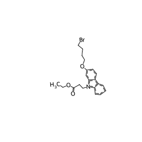 CCOC(=O)CCn1c2ccccc2c2ccc(OCCCCBr)cc21